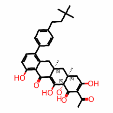 CC(=O)C1=C(O)C[C@]2(C)C[C@]3(C)Cc4c(-c5ccc(CCC(C)(C)C)cc5)ccc(O)c4C(=O)C3=C(O)[C@]2(O)C1=O